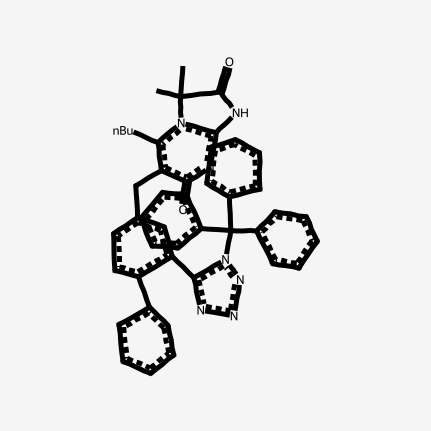 CCCCc1c(Cc2ccc(-c3ccccc3)c(-c3nnnn3C(c3ccccc3)(c3ccccc3)c3ccccc3)c2)c(=O)nc2n1C(C)(C)C(=O)N2